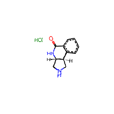 Cl.O=C1N[C@H]2CNC[C@@H]2c2ccccc21